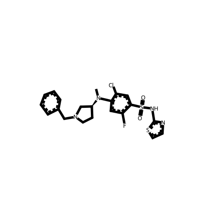 CN(c1cc(F)c(S(=O)(=O)Nc2nccs2)cc1Cl)[C@H]1CCN(Cc2ccccc2)C1